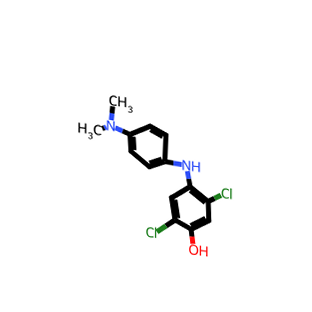 CN(C)c1ccc(Nc2cc(Cl)c(O)cc2Cl)cc1